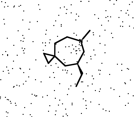 CC[C@@H]1CN(C)CCC2(CC2)C1